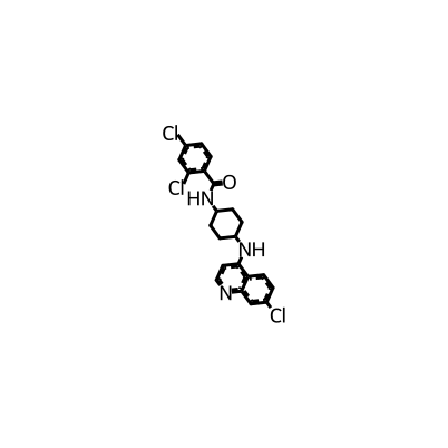 O=C(NC1CCC(Nc2ccnc3cc(Cl)ccc23)CC1)c1ccc(Cl)cc1Cl